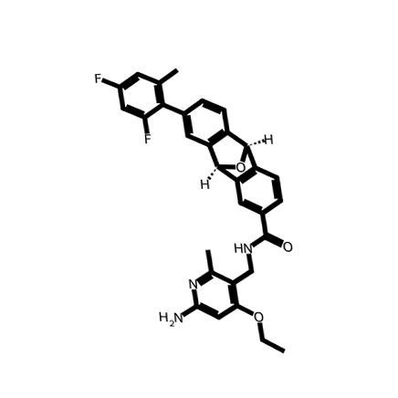 CCOc1cc(N)nc(C)c1CNC(=O)c1ccc2c(c1)[C@@H]1O[C@H]2c2ccc(-c3c(C)cc(F)cc3F)cc21